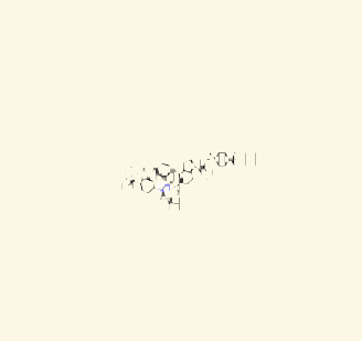 COC(=O)c1ccc(/C(C(C)=O)=C(/Nc2ccc3c(n2)CCN3C(=O)CN2CCN(C)CC2)c2ccccc2)cc1